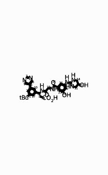 CC(C)(C)c1cc(-c2cncnc2)cc([C@H](CC(=O)O)NC(=O)CNC(=O)c2cc(O)cc(NC3NCC(O)CN3)c2)c1